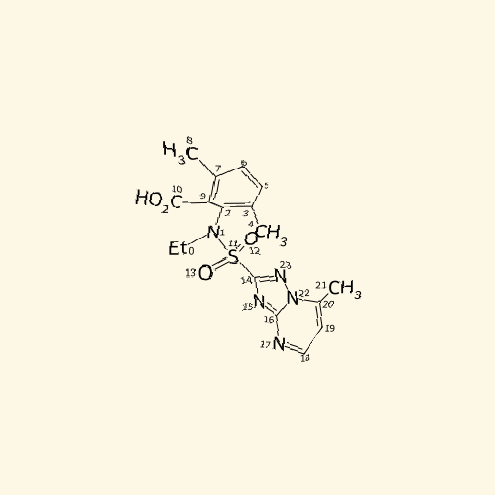 CCN(c1c(C)ccc(C)c1C(=O)O)S(=O)(=O)c1nc2nccc(C)n2n1